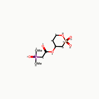 COP(=O)(CC(=O)OC1CCOS(=O)(=O)C1)OC